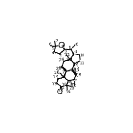 C[C@H](C1CCC(C)(C)O1)[C@H]1CC[C@@]2(C)C3=CC[C@H]4C(C)(C)C(=O)CC[C@]4(C)C3=CC[C@]12C